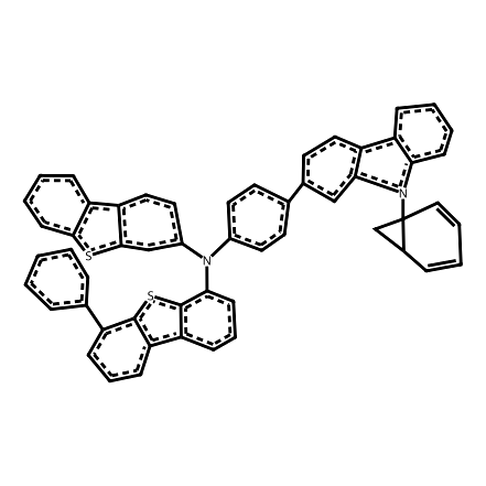 C1=CC2CC2(n2c3ccccc3c3ccc(-c4ccc(N(c5ccc6c(c5)sc5ccccc56)c5cccc6c5sc5c(-c7ccccc7)cccc56)cc4)cc32)C=C1